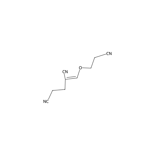 N#CCCO/C=C(\C#N)CCC#N